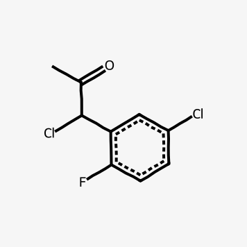 CC(=O)C(Cl)c1cc(Cl)ccc1F